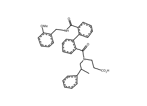 COc1ccccc1CNC(=O)c1ccccc1-c1ccccc1C(=O)N(CCC(=O)O)CC(C)c1ccccc1